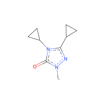 [CH2]n1nc(C2CC2)n(C2CC2)c1=O